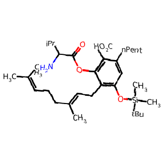 CCCCCc1cc(O[Si](C)(C)C(C)(C)C)c(C/C=C(\C)CCC=C(C)C)c(OC(=O)C(N)C(C)C)c1C(=O)O